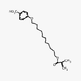 C=C(C)C(=O)OCCCCCCCCCCCOc1ccc(C(=O)O)cc1